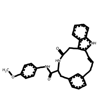 COc1ccc(NC(=O)C2Cc3cccc(c3)C/C=C/c3[nH]c4ccccc4c3CC(=O)N2)cc1